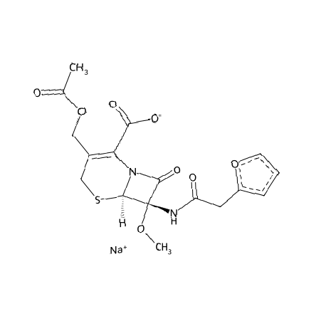 CO[C@@]1(NC(=O)Cc2ccco2)C(=O)N2C(C(=O)[O-])=C(COC(C)=O)CS[C@@H]21.[Na+]